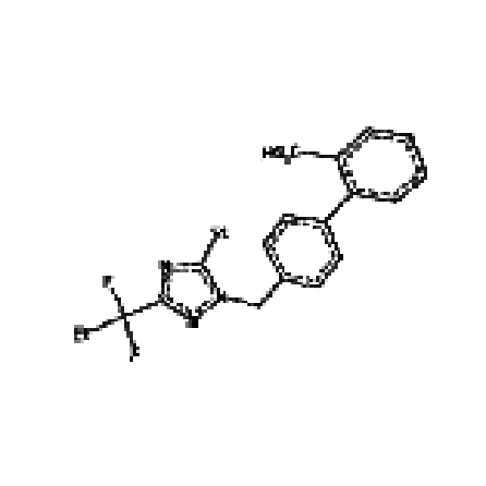 CCc1nc(C(F)(F)CC)nn1Cc1ccc(-c2ccccc2C(=O)O)cc1